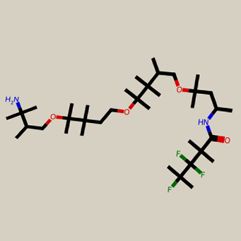 CC(CC(C)(C)OCC(C)C(C)(C)C(C)(C)OCCC(C)(C)C(C)(C)OCC(C)C(C)(C)N)NC(=O)C(C)(C)C(F)(F)C(C)(C)F